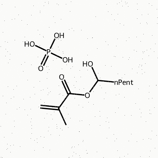 C=C(C)C(=O)OC(O)CCCCC.O=P(O)(O)O